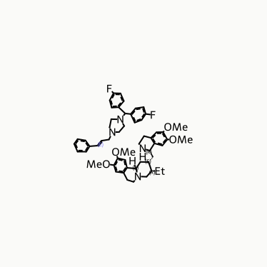 CC[C@H]1CN2CCc3cc(OC)c(OC)cc3[C@@H]2C[C@@H]1C[C@H]1NCCc2cc(OC)c(OC)cc21.Fc1ccc(C(c2ccc(F)cc2)N2CCN(C/C=C/c3ccccc3)CC2)cc1